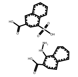 NNc1c(C(=O)O)ccc2ccccc12.O=C(O)c1cc(S(=O)(=O)O)c2ccccc2c1